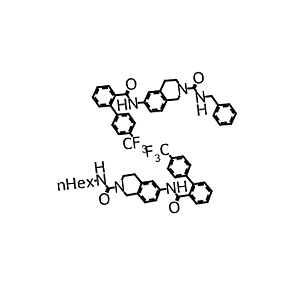 CCCCCCNC(=O)N1CCc2cc(NC(=O)c3ccccc3-c3ccc(C(F)(F)F)cc3)ccc2C1.O=C(Nc1ccc2c(c1)CCN(C(=O)NCc1ccccc1)C2)c1ccccc1-c1ccc(C(F)(F)F)cc1